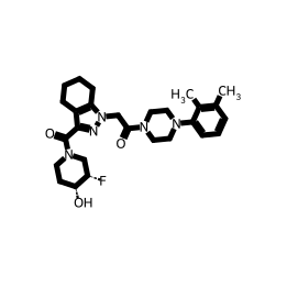 Cc1cccc(N2CCN(C(=O)Cn3nc(C(=O)N4CC[C@@H](O)[C@@H](F)C4)c4c3CCCC4)CC2)c1C